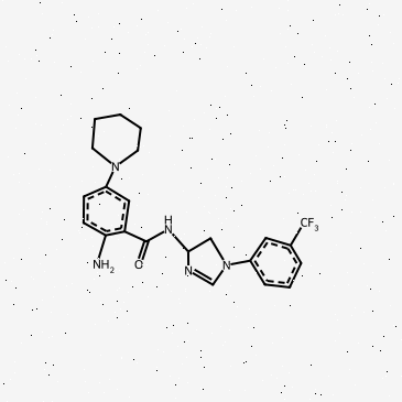 Nc1ccc(N2CCCCC2)cc1C(=O)NC1CN(c2cccc(C(F)(F)F)c2)C=N1